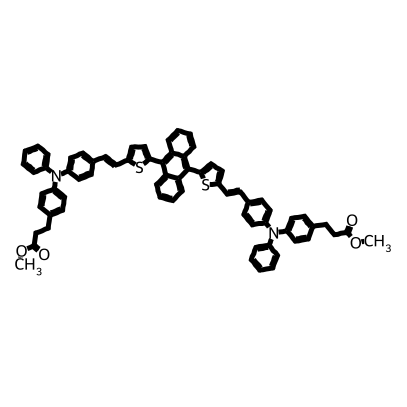 COC(=O)CCc1ccc(N(c2ccccc2)c2ccc(/C=C/c3ccc(-c4c5ccccc5c(-c5ccc(/C=C/c6ccc(N(c7ccccc7)c7ccc(CCC(=O)OC)cc7)cc6)s5)c5ccccc45)s3)cc2)cc1